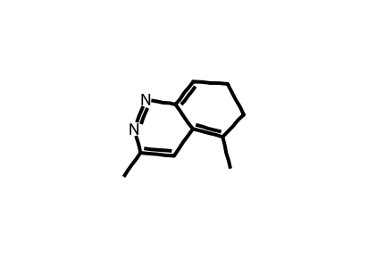 CC1=c2cc(C)nnc2=CCC1